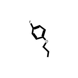 CC[CH]Oc1ccc(F)cc1